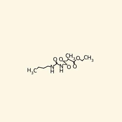 CCCCNC(=O)NS(=O)(=O)C(C)C(=O)OCC